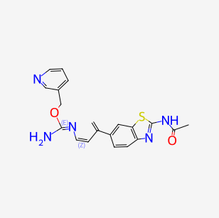 C=C(/C=C\N=C(/N)OCc1cccnc1)c1ccc2nc(NC(C)=O)sc2c1